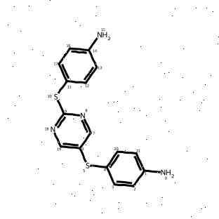 Nc1ccc(Sc2cnc(Sc3ccc(N)cc3)nc2)cc1